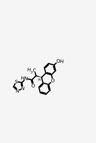 CC(C(=O)Nc1nncs1)[C@@H]1c2ccccc2Oc2cc(O)ccc21